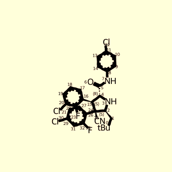 CC(C)(C)C[C@@H]1N[C@@H](C(=O)Nc2ccc(Cl)cc2)[C@H](c2cccc(Cl)c2F)[C@@]1(C#N)c1ccc(Cl)cc1F